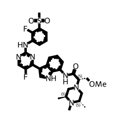 COC[C@@H](C(=O)Nc1cccc2c(-c3nc(Nc4cccc(S(C)(=O)=O)c4F)ncc3F)c[nH]c12)N1C[C@H](C)N(C)[C@@H](C)C1